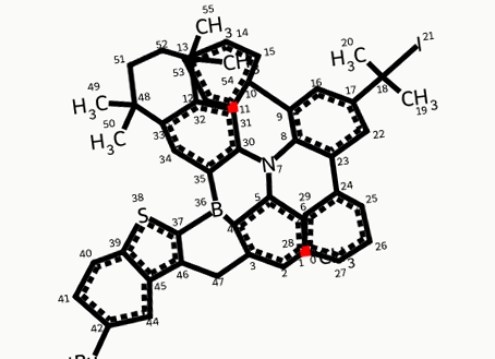 Cc1cc2c3c(c1)N(c1c(-c4ccccc4)cc(C(C)(C)I)cc1-c1ccccc1)c1cc4c(cc1B3c1sc3ccc(C(C)(C)C)cc3c1C2)C(C)(C)CCC4(C)C